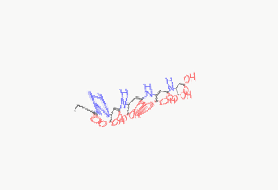 CCC(=O)NC(CC(=O)NC(CC(=O)NC(CC(=O)NC(CC(=O)O)C(=O)O)C(=O)O)C(=O)O)C(=O)O